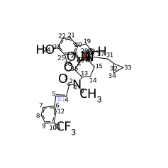 CN(C(=O)/C=C/c1cccc(C(F)(F)F)c1)C1CC[C@@]2([N+](=O)[O-])[C@H]3Cc4ccc(O)c5c4[C@@]2(CCN3CC2CC2)C1O5